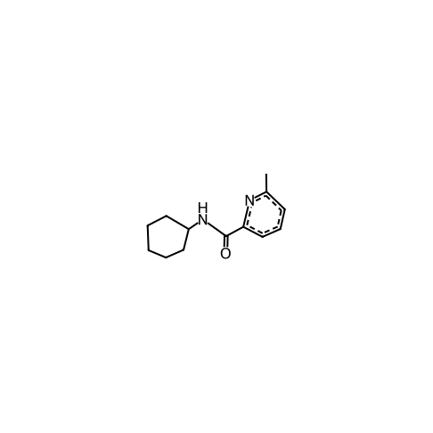 Cc1cccc(C(=O)NC2CCCCC2)n1